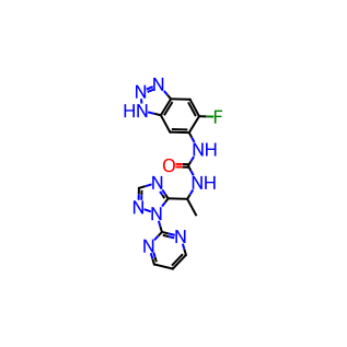 CC(NC(=O)Nc1cc2[nH]nnc2cc1F)c1ncnn1-c1ncccn1